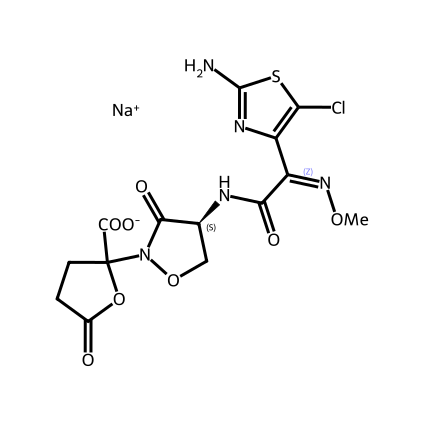 CO/N=C(\C(=O)N[C@H]1CON(C2(C(=O)[O-])CCC(=O)O2)C1=O)c1nc(N)sc1Cl.[Na+]